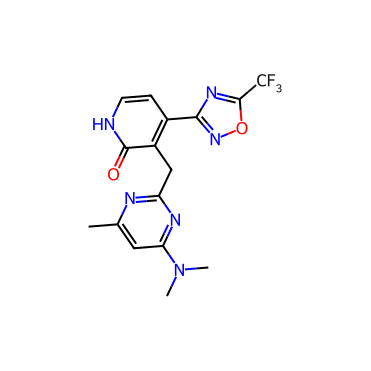 Cc1cc(N(C)C)nc(Cc2c(-c3noc(C(F)(F)F)n3)cc[nH]c2=O)n1